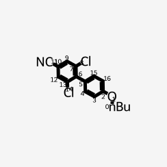 CCCCOc1ccc(-c2c(Cl)cc(C#N)cc2Cl)cc1